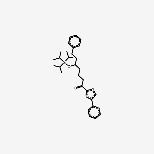 CC(C)[Si](OC(CCCC(=O)c1ncc(-c2ccccn2)o1)CCc1ccccc1)(C(C)C)C(C)C